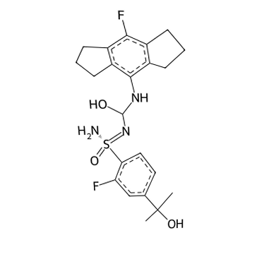 CC(C)(O)c1ccc([S@@](N)(=O)=NC(O)Nc2c3c(c(F)c4c2CCC4)CCC3)c(F)c1